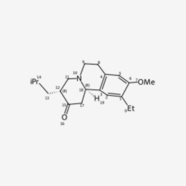 CCc1cc2c(cc1OC)CCN1C[C@@H](CC(C)C)C(=O)C[C@H]21